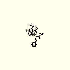 C=C(OCC)[C@H](CCc1ccccc1)N[C@@H](C)C(=O)N1[C@H](C(=O)O)C[C@@H]2CCC[C@@H]21